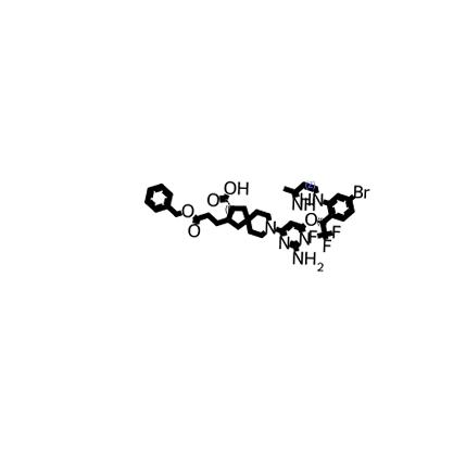 CC(=N)/C=C\Nc1cc(Br)ccc1[C@@H](Oc1cc(N2CCC3(CC2)CC(CCC(=O)OCc2ccccc2)[C@H](C(=O)O)C3)nc(N)n1)C(F)(F)F